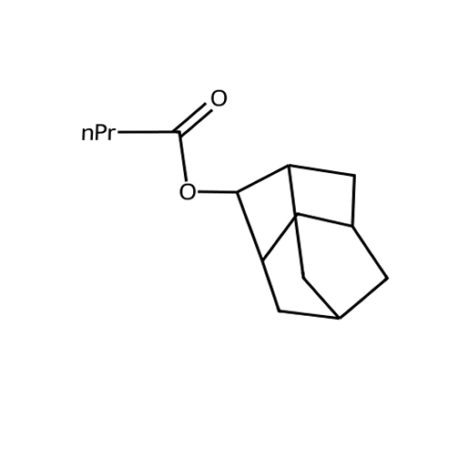 CCCC(=O)OC1C2CC3CC(C2)CC1C3